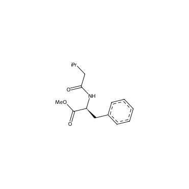 COC(=O)[C@H](Cc1ccccc1)NC(=O)CC(C)C